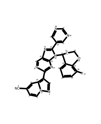 N#Cc1ccn2ncc(-c3ncc4nc(-c5cncnc5)n(C5CCOc6c(F)cccc65)c4n3)c2c1